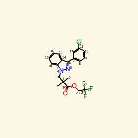 CC(C)(Cn1nc(-c2cccc(Cl)c2)c2ccccc21)C(=O)OCC(F)(F)F